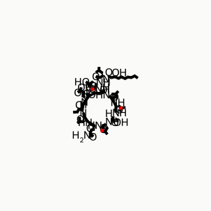 CCCCCCC[C@H](O)CC(=O)N[C@H](CC(C)C)C(=O)N[C@H](CC(=O)O)C(=O)N[C@H]1C(=O)N[C@H](CC(C)C)C(=O)N[C@H](CC(C)C)C(=O)N[C@H](CO)C(=O)N[C@@H](CC(C)C)C(=O)N[C@H](CCC(N)=O)C(=O)N[C@@H](CC(C)C)C(=O)N[C@@H]([C@@H](C)CC)C(=O)N[C@@H](CCC(=O)O)C(=O)O[C@@H]1C